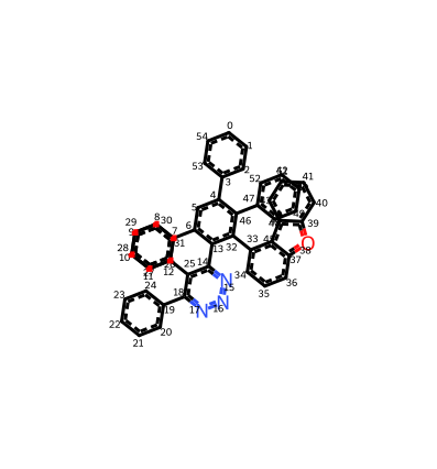 c1ccc(-c2cc(-c3ccccc3)c(-c3nnnc(-c4ccccc4)c3-c3ccccc3)c(-c3cccc4oc5ccccc5c34)c2-c2ccccc2)cc1